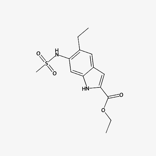 CCOC(=O)c1cc2cc(CC)c(NS(C)(=O)=O)cc2[nH]1